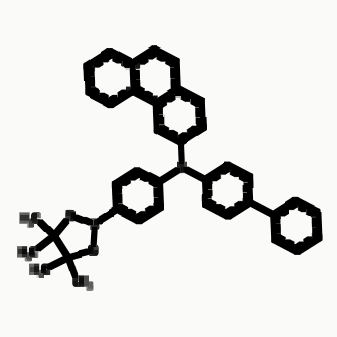 CC1(C)OB(c2ccc(N(c3ccc(-c4ccccc4)cc3)c3ccc4ccc5ccccc5c4c3)cc2)OC1(C)C